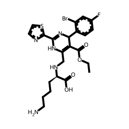 CCOC(=O)C1=C(CN[C@H](CCCCN)C(=O)O)NC(c2nccs2)=NC1c1ccc(F)cc1Br